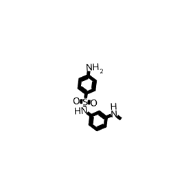 CNc1cccc(NS(=O)(=O)c2ccc(N)cc2)c1